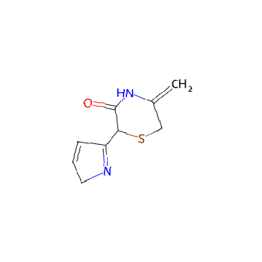 C=C1CSC(C2=NCC=C2)C(=O)N1